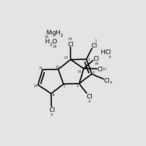 Cl.ClC1=C(Cl)C2(Cl)C3C(Cl)C=CC3C1(Cl)C2(Cl)Cl.O.[MgH2]